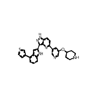 c1cc(-c2ccsc2)c2cc(-c3n[nH]c4ccc(-c5cncc(OC6CCNCC6)c5)nc34)[nH]c2c1